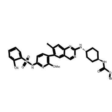 COc1nc(NS(=O)(=O)c2ccccc2C#N)ccc1-c1cc2cnc(N[C@H]3CC[C@H](NC(=O)OC(C)(C)C)CC3)nc2cc1C